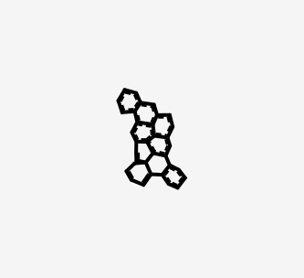 C1=CCC23C=Cc4cc5c6ccccc6cc6ccc7cc(c2c4c7c65)-c2ccccc2C3=C1